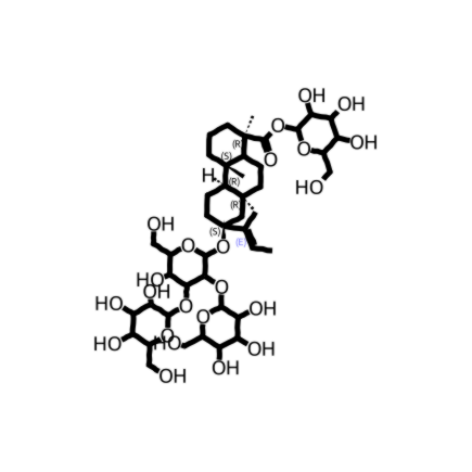 C/C=C1\C[C@@]23CCC4[C@](C)(C(=O)OC5OC(CO)C(O)C(O)C5O)CCC[C@@]4(C)[C@@H]2CC[C@]1(OC1OC(CO)C(O)C(OC2OC(CO)C(O)C(O)C2O)C1OC1OC(CO)C(O)C(O)C1O)C3